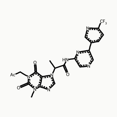 CC(=O)Cn1c(=O)c2c(ncn2C(C)C(=O)Nc2cncc(-c3ccc(C(F)(F)F)nc3)n2)n(C)c1=O